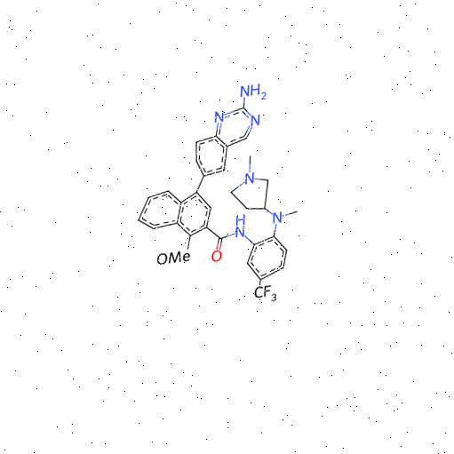 COc1c(C(=O)Nc2cc(C(F)(F)F)ccc2N(C)C2CCN(C)C2)cc(-c2ccc3nc(N)ncc3c2)c2ccccc12